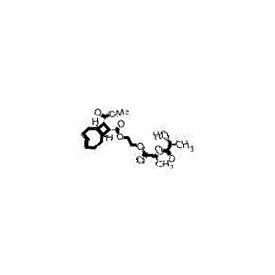 COC(=O)[C@H]1[C@@H]2CC/C=C/CC[C@H]2[C@H]1C(=O)OCCOC(=O)[C@H](C)OC(=O)[C@H](C)O